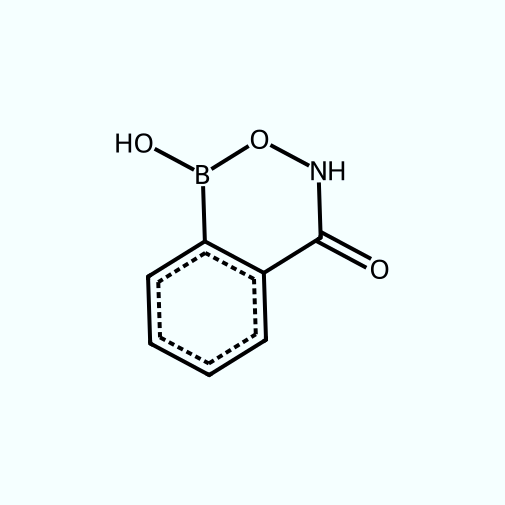 O=C1NOB(O)c2ccccc21